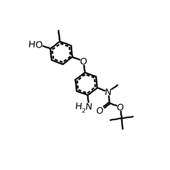 Cc1cc(Oc2ccc(N)c(N(C)C(=O)OC(C)(C)C)c2)ccc1O